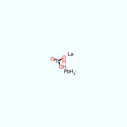 [La].[O]=[Ti]([OH])[OH].[PbH2]